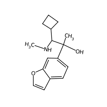 CNC(C1CCC1)C(C)(O)c1ccc2ccoc2c1